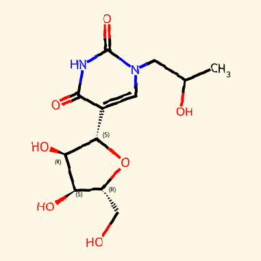 CC(O)Cn1cc([C@@H]2O[C@H](CO)[C@@H](O)[C@H]2O)c(=O)[nH]c1=O